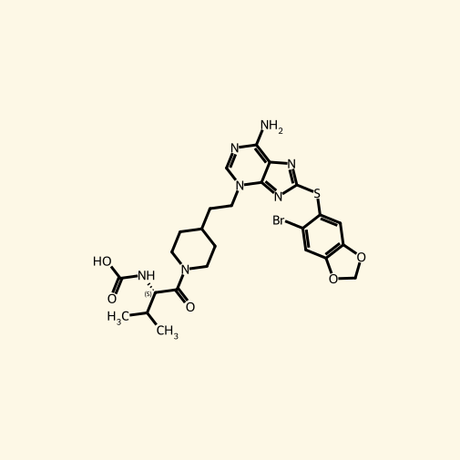 CC(C)[C@H](NC(=O)O)C(=O)N1CCC(CCn2cnc(N)c3nc(Sc4cc5c(cc4Br)OCO5)nc2-3)CC1